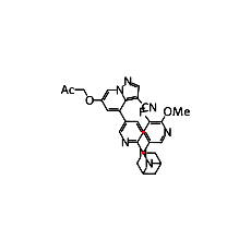 COc1ncc(CN2C3CC2CN(c2ccc(-c4cc(OCC(C)=O)cn5ncc(C#N)c45)cn2)C3)cc1F